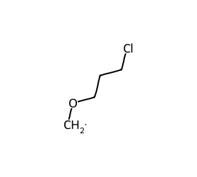 [CH2]OCCCCl